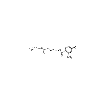 CCCOC(=O)CCCCOC(=O)c1ccc(=O)oc1C